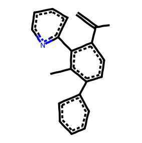 C=C(C)c1ccc(-c2ccccc2)c(C)c1-c1ccccn1